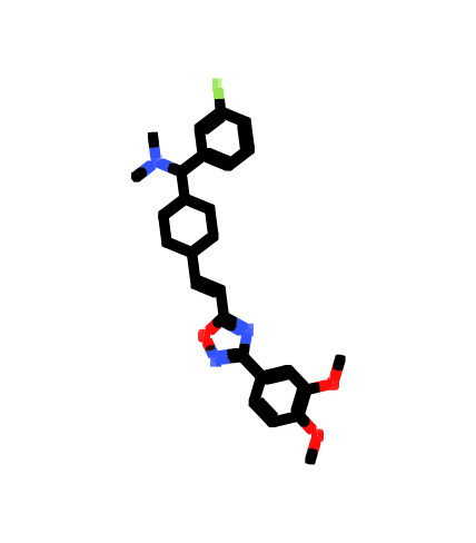 COc1ccc(-c2noc(/C=C/C3CCC(C(c4cccc(F)c4)N(C)C)CC3)n2)cc1OC